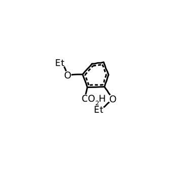 CCOc1cccc(OCC)c1C(=O)O